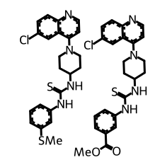 COC(=O)c1cccc(NC(=S)NC2CCN(c3ccnc4ccc(Cl)cc34)CC2)c1.CSc1cccc(NC(=S)NC2CCN(c3ccnc4ccc(Cl)cc34)CC2)c1